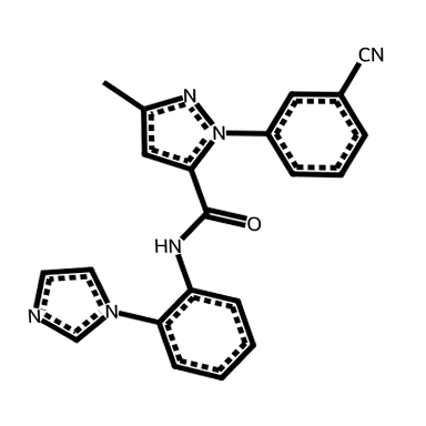 Cc1cc(C(=O)Nc2ccccc2-n2ccnc2)n(-c2cccc(C#N)c2)n1